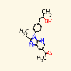 CCc1nc2cc(C(C)=O)cnc2n1-c1ccc(CC(C)O)cc1